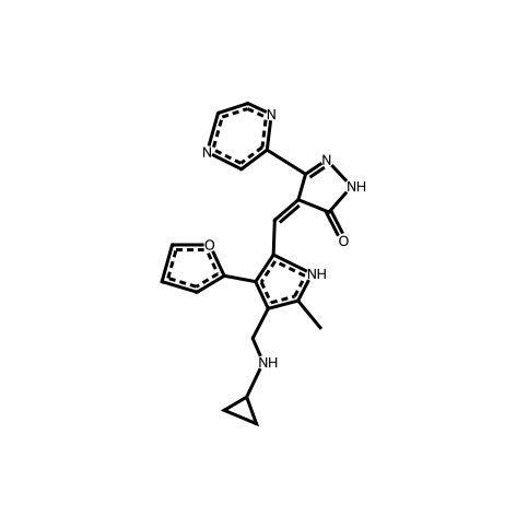 Cc1[nH]c(C=C2C(=O)NN=C2c2cnccn2)c(-c2ccco2)c1CNC1CC1